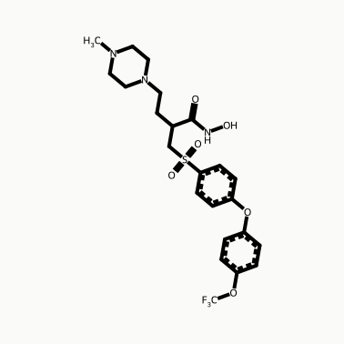 CN1CCN(CCC(CS(=O)(=O)c2ccc(Oc3ccc(OC(F)(F)F)cc3)cc2)C(=O)NO)CC1